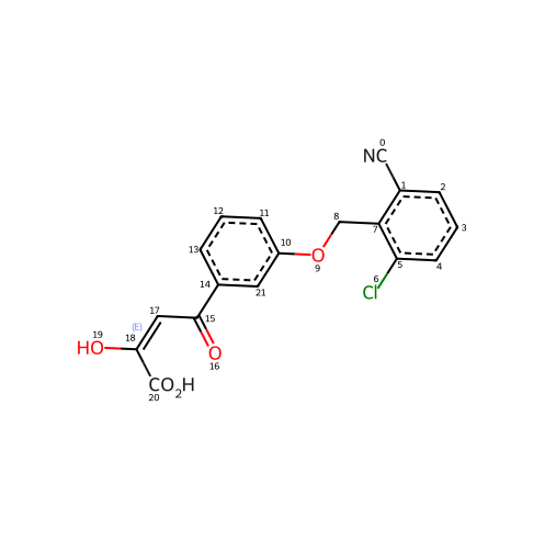 N#Cc1cccc(Cl)c1COc1cccc(C(=O)/C=C(/O)C(=O)O)c1